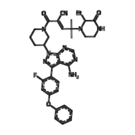 CCC1C(=O)NCCN1C(C)(C)C=C(C#N)C(=O)N1CCCC(n2nc(-c3ccc(Oc4ccccc4)cc3F)c3c(N)ncnc32)C1